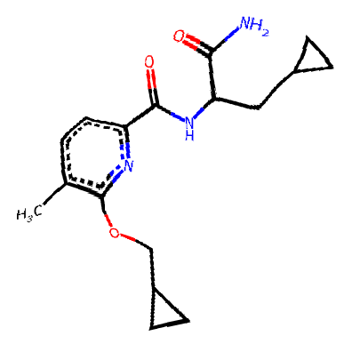 Cc1ccc(C(=O)NC(CC2CC2)C(N)=O)nc1OCC1CC1